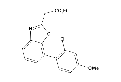 CCOC(=O)Cc1nc2cccc(-c3ccc(OC)cc3Cl)c2o1